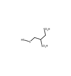 O=S(=O)(O)CC(CSS)S(=O)(=O)O